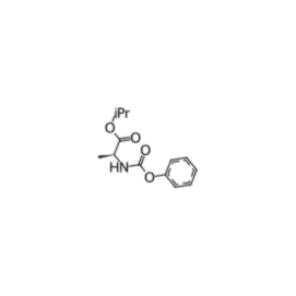 CC(C)OC(=O)[C@H](C)NC(=O)Oc1ccccc1